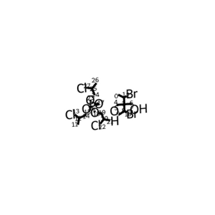 CC(Br)C(CO)(CO)C(C)Br.CC(Cl)COP(=O)(OCC(C)Cl)OCC(C)Cl